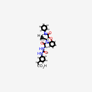 CN(C(=O)COc1ccccc1N(CC1CC1)C(=O)CNC(=O)Nc1cccc(CC(=O)O)c1)c1ccccc1